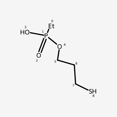 CCP(=O)(O)OCCCS